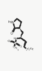 CCOC(=O)C=C[C@H](C[C@@H]1CCNC1=O)NS(C)(=O)=O